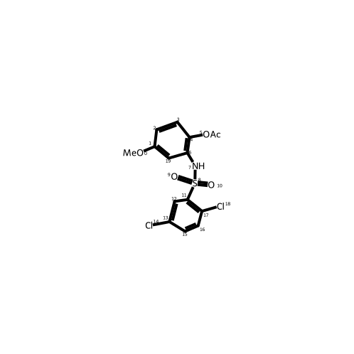 COc1ccc(OC(C)=O)c(NS(=O)(=O)c2cc(Cl)ccc2Cl)c1